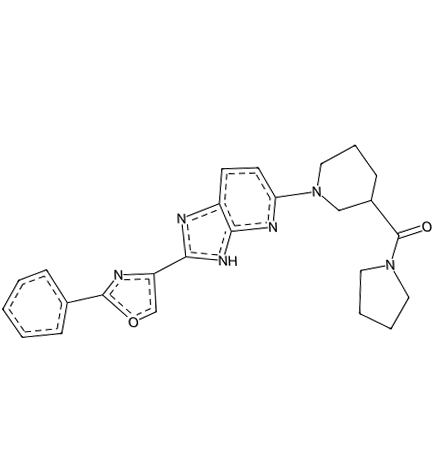 O=C(C1CCCN(c2ccc3nc(-c4coc(-c5ccccc5)n4)[nH]c3n2)C1)N1CCCC1